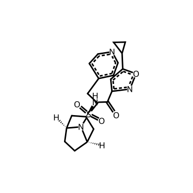 O=C(N[C@H]1C[C@H]2CC[C@@H](C1)N2S(=O)(=O)CCc1ccncc1)c1cc(C2CC2)on1